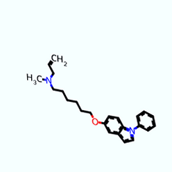 C=CCN(C)CCCCCCOc1ccc2c(ccn2-c2ccccc2)c1